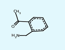 CC(=O)c1ccccc1CN